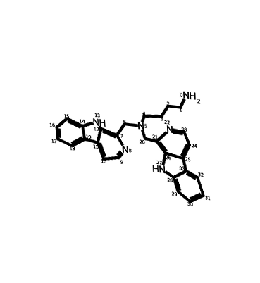 NCCCCN(Cc1nccc2c1[nH]c1ccccc12)Cc1nccc2c1[nH]c1ccccc12